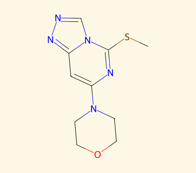 CSc1nc(N2CCOCC2)cc2nncn12